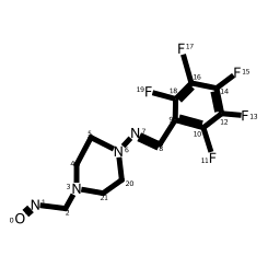 O=NCN1CCN(/N=C/c2c(F)c(F)c(F)c(F)c2F)CC1